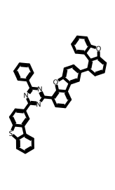 c1ccc(-c2nc(-c3ccc4sc5ccccc5c4c3)nc(-c3cccc4c3oc3ccc(-c5cccc6oc7ccccc7c56)cc34)n2)cc1